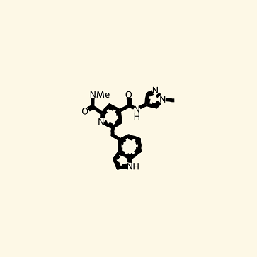 CNC(=O)c1cc(C(=O)Nc2cnn(C)c2)cc(Cc2cccc3[nH]ccc23)n1